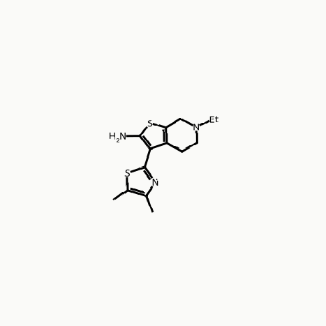 CCN1CCc2c(sc(N)c2-c2nc(C)c(C)s2)C1